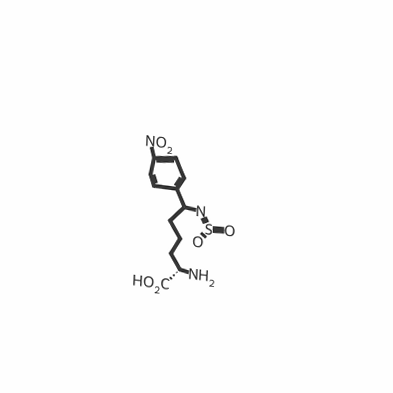 N[C@@H](CCCC(N=S(=O)=O)c1ccc([N+](=O)[O-])cc1)C(=O)O